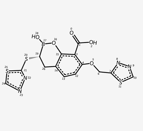 O=C(O)c1c(OCc2nncs2)ccc2c1OB(O)[C@@H](Sc1nncs1)C2